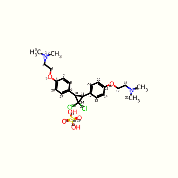 CN(C)CCOc1ccc(C2C(c3ccc(OCCN(C)C)cc3)C2(Cl)Cl)cc1.O=S(=O)(O)O